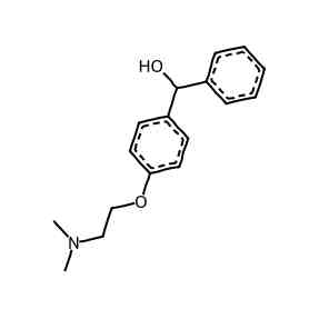 CN(C)CCOc1ccc(C(O)c2ccccc2)cc1